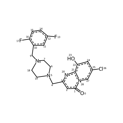 O=c1cc(CN2CCN(Cc3cc(F)ccc3F)CC2)nc2c(O)cc(Cl)cn12